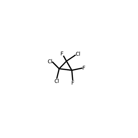 FC1(F)C(F)(Cl)C1(Cl)Cl